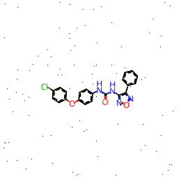 O=C(Nc1ccc(Oc2ccc(Cl)cc2)cc1)Nc1nonc1-c1ccccc1